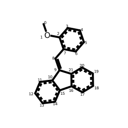 COc1ccccc1C=C1c2ccccc2-c2ccccc21